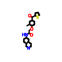 Cc1cc(C(=O)c2cccs2)ccc1OCC(=O)Nc1ccc2cnccc2c1